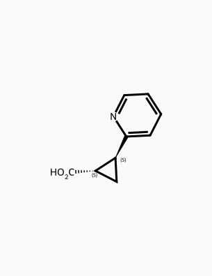 O=C(O)[C@H]1C[C@@H]1c1ccccn1